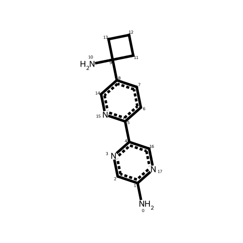 Nc1cnc(-c2ccc(C3(N)CCC3)cn2)cn1